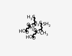 CCCCC(CC)COC(=O)CCC(=O)O.CCCCC(CC)COC(=O)CCC(=O)O.S